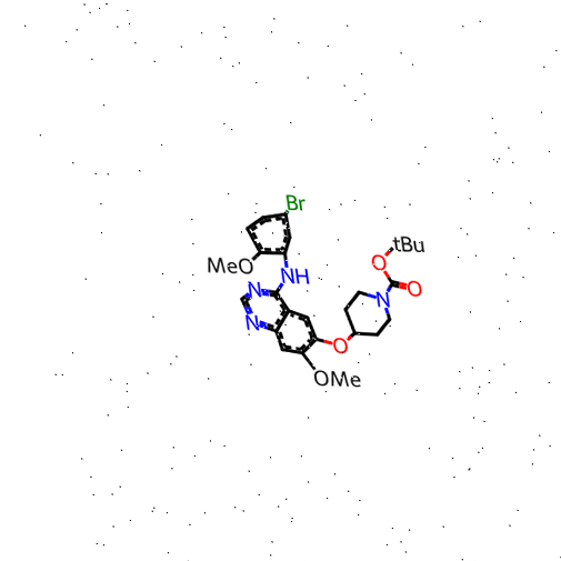 COc1ccc(Br)cc1Nc1ncnc2cc(OC)c(OC3CCN(C(=O)OC(C)(C)C)CC3)cc12